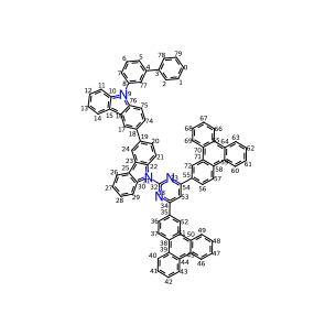 c1ccc(-c2cccc(-n3c4ccccc4c4cc(-c5ccc6c(c5)c5ccccc5n6-c5nc(-c6ccc7c8ccccc8c8ccccc8c7c6)cc(-c6ccc7c8ccccc8c8ccccc8c7c6)n5)ccc43)c2)cc1